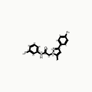 Cc1cc(-c2ccc(F)cc2)nn1CC(=O)Nc1cccc(F)c1